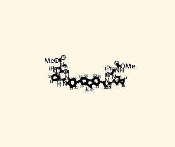 COC(=O)N[C@H](C(=O)N1CC2(CC2)C[C@H]1c1ncc(-c2ccc3c(c2)C(F)(F)c2cc(-c4ccc5nc([C@@H]6[C@H]7CC[C@H](C7)N6C(=O)[C@H](C(C)C)N(C)C(=O)OC)[nH]c5c4)ccc2-3)[nH]1)C(C)C